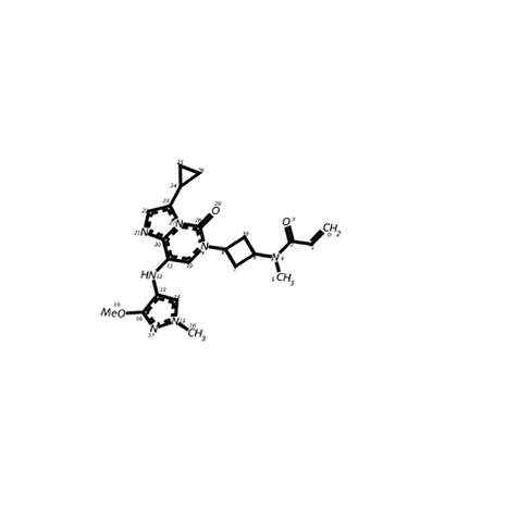 C=CC(=O)N(C)C1CC(n2cc(Nc3cn(C)nc3OC)c3ncc(C4CC4)n3c2=O)C1